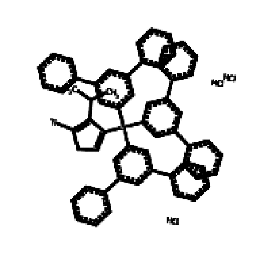 CC(C)C1=[C]([Ti])CC=C1[Si](c1cc(-c2ccccc2)cc(-c2ccccc2)c1)(c1cc(-c2ccccc2)cc(-c2ccccc2)c1)c1cc(-c2ccccc2)cc(-c2ccccc2)c1.Cl.Cl.Cl